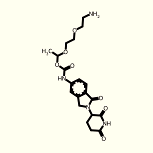 CC(OCCOCCN)OC(=O)Nc1ccc2c(c1)CN(C1CCC(=O)NC1=O)C2=O